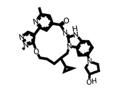 Cc1cc2cc(n1)-c1cnn(C)c1OCCCC(C1CC1)CN1/C(=N/C2=O)Nc2ccc(N3CCC(O)C3)cc21